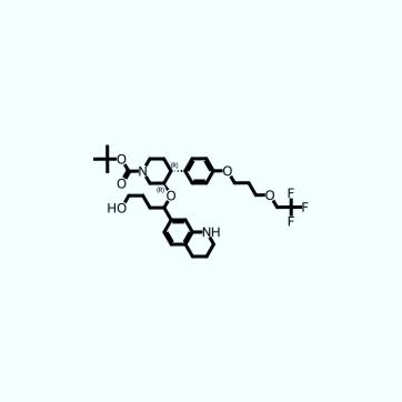 CC(C)(C)OC(=O)N1CC[C@H](c2ccc(OCCCOCC(F)(F)F)cc2)[C@@H](OC(CCCO)c2ccc3c(c2)NCCC3)C1